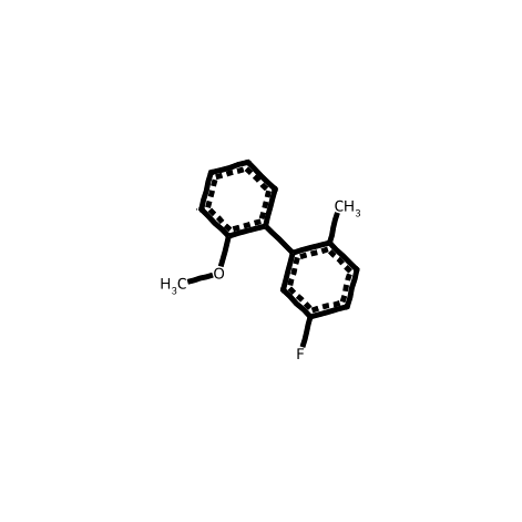 COc1[c]cccc1-c1cc(F)ccc1C